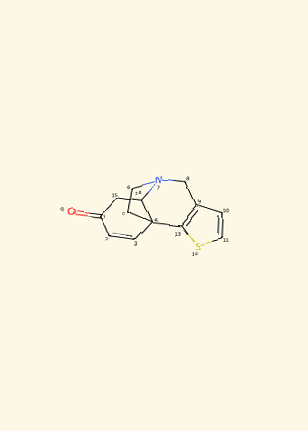 O=C1C=CC23CCN(Cc4ccsc42)C3C1